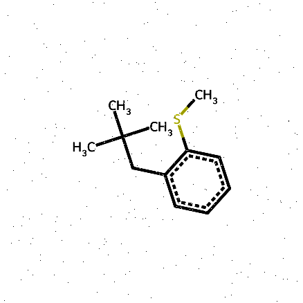 CSc1ccccc1CC(C)(C)C